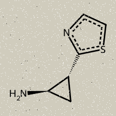 N[C@@H]1C[C@H]1c1nccs1